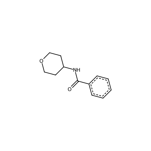 O=C(NC1CCOCC1)c1ccccc1